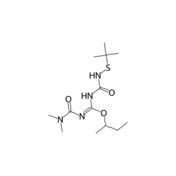 CCC(C)OC(=NC(=O)N(C)C)NC(=O)NSC(C)(C)C